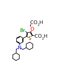 O=C(O)COc1c(C(=O)O)sc(-c2cccc(N(CC3CCCCC3)CC3CCCCC3)c2)c1Br